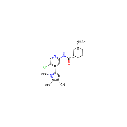 CCCc1c(C#N)cc(-c2cc(NC(=O)[C@H]3CCC[C@@H](NC(C)=O)C3)ncc2Cl)n1CCC